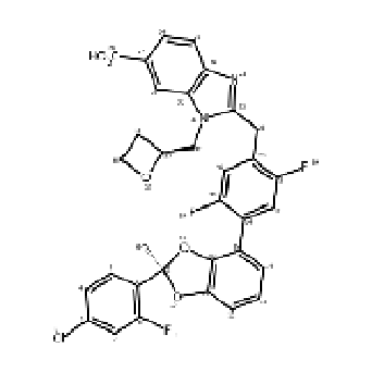 C[C@@]1(c2ccc(Cl)cc2F)Oc2cccc(-c3cc(F)c(Cc4nc5ccc(C(=O)O)cc5n4C[C@@H]4CCO4)cc3F)c2O1